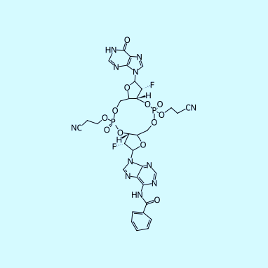 N#CCCOP1(=O)OCC2OC(n3cnc4c(=O)[nH]cnc43)[C@H](F)[C@@H]2OP(=O)(OCCC#N)OCC2OC(n3cnc4c(NC(=O)c5ccccc5)ncnc43)[C@H](F)[C@@H]2O1